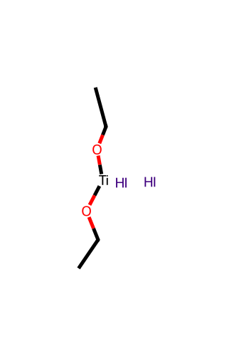 CC[O][Ti][O]CC.I.I